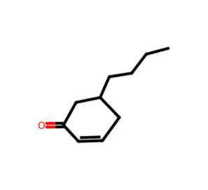 CCCCC1CC=CC(=O)C1